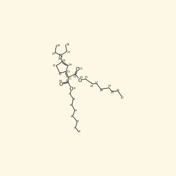 CCCCCCCCOC(=O)C(C(=O)OCCCCCCCC)=C1C=C(N(CC)CC)CC1